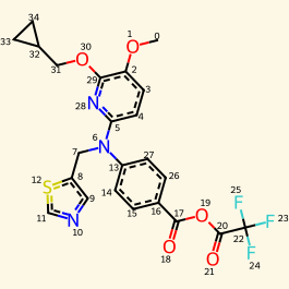 COc1ccc(N(Cc2cncs2)c2ccc(C(=O)OC(=O)C(F)(F)F)cc2)nc1OCC1CC1